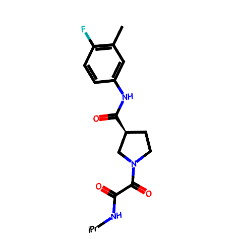 Cc1cc(NC(=O)[C@H]2CCN(C(=O)C(=O)NC(C)C)C2)ccc1F